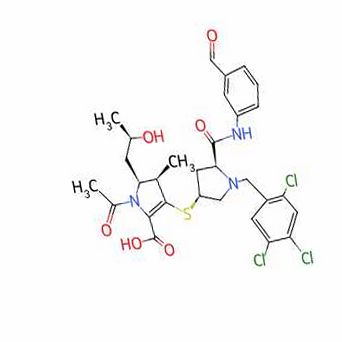 CC(=O)N1C(C(=O)O)=C(S[C@H]2C[C@@H](C(=O)Nc3cccc(C=O)c3)N(Cc3cc(Cl)c(Cl)cc3Cl)C2)[C@H](C)[C@@H]1C[C@@H](C)O